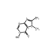 Bc1nc2ncn(C(C)(C)C)c(=O)c2n1C